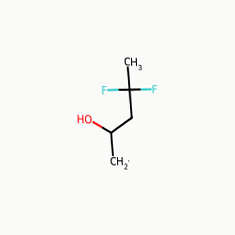 [CH2]C(O)CC(C)(F)F